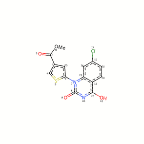 COC(=O)c1csc(-n2c(=O)nc(O)c3ccc(Cl)cc32)c1